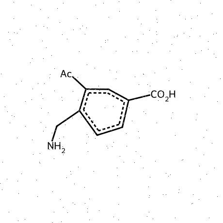 CC(=O)c1cc(C(=O)O)ccc1CN